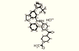 CC(=O)N1CCC(C(=O)N2CC[C@H](NCc3cc(-n4nnnc4C(F)(F)F)cc4c3OCC4)[C@H](c3ccccc3)C2)CC1.Cl